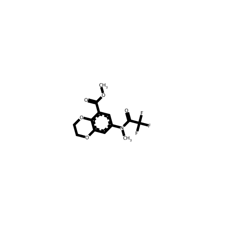 COC(=O)c1cc(N(C)C(=O)C(F)(F)F)cc2c1OCCO2